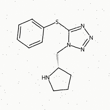 c1ccc(Sc2nnnn2C[C@@H]2CCCN2)cc1